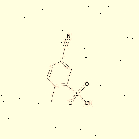 Cc1ccc(C#N)cc1S(=O)(=O)O